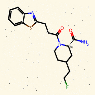 NC(=O)[C@@H]1CC(CCF)CCN1C(=O)[CH]Cc1nc2ccccc2s1